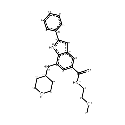 COCCNC(=O)c1cc(NC2CCOCC2)c2[nH]c(-c3ccccc3)cc2c1